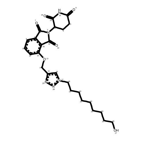 O=C1CCC(N2C(=O)c3cccc(OCc4cn(CCCCCCCCCO)nn4)c3C2=O)C(=O)N1